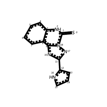 S=c1[nH]c2ccccc2c2nc(-c3ccc[nH]3)nn12